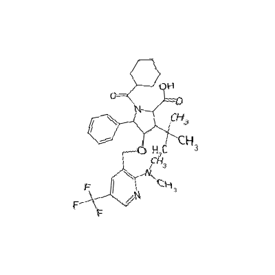 CN(C)c1ncc(C(F)(F)F)cc1COC1C(c2ccccc2)N(C(=O)C2CCCCC2)C(C(=O)O)C1C(C)(C)C